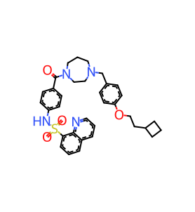 O=C(c1ccc(NS(=O)(=O)c2cccc3cccnc23)cc1)N1CCCN(Cc2ccc(OCCC3CCC3)cc2)CC1